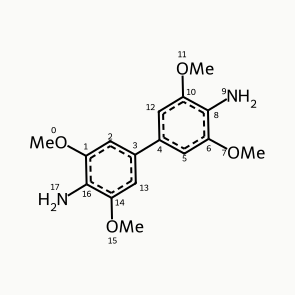 COc1cc(-c2cc(OC)c(N)c(OC)c2)cc(OC)c1N